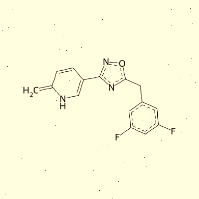 C=C1C=CC(c2noc(Cc3cc(F)cc(F)c3)n2)=CN1